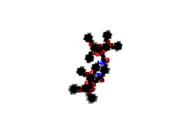 O=C(CCCOc1c(-c2ccc(OCc3ccccc3)c(OCc3ccccc3)c2)oc2cc(OCc3ccccc3)cc(OCc3ccccc3)c2c1=O)NCc1ccc(CNC(=O)CCCOc2c(-c3ccc(OCc4ccccc4)c(OCc4ccccc4)c3)oc3cc(OCc4ccccc4)cc(OCc4ccccc4)c3c2=O)cc1